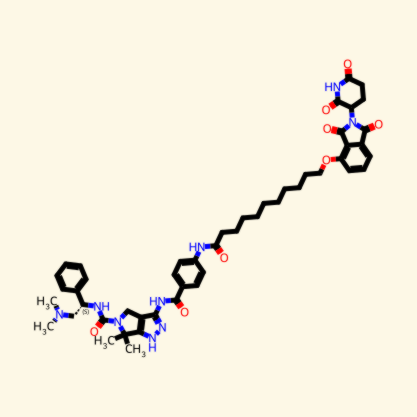 CN(C)C[C@@H](NC(=O)N1Cc2c(NC(=O)c3ccc(NC(=O)CCCCCCCCCCOc4cccc5c4C(=O)N(C4CCC(=O)NC4=O)C5=O)cc3)n[nH]c2C1(C)C)c1ccccc1